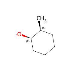 C[C@H]1CCCC[C@H]1[O]